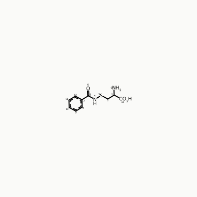 NC(CSNC(=O)c1ccccc1)C(=O)O